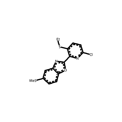 CCSc1ccc(Cl)nc1-c1nc2cc(SC)ccc2o1